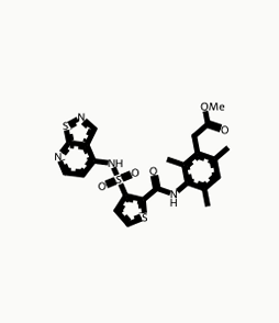 COC(=O)Cc1c(C)cc(C)c(NC(=O)c2sccc2S(=O)(=O)Nc2ccnc3sncc23)c1C